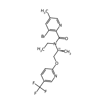 CCN(C(=O)c1ncc(C)cc1Br)[C@@H](C)COc1ccc(C(F)(F)F)cn1